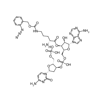 [N-]=[N+]=Nc1ccccc1COC(=O)NCCC[C@@H](N)C(=O)O[C@H]1[C@@H](O)[C@H](n2cnc3c(N)ncnc32)O[C@H]1COP(=O)(O)O[C@H]1C[C@H](n2ccc(N)nc2=O)O[C@@H]1COP(=O)(O)O